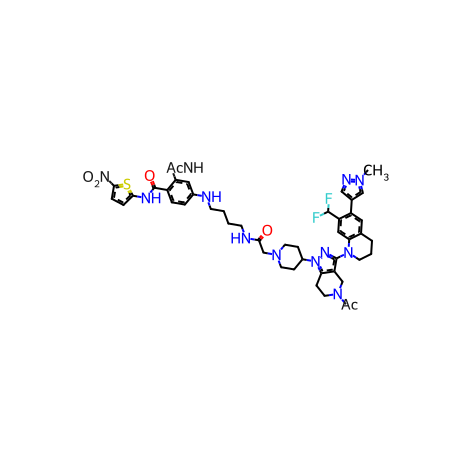 CC(=O)Nc1cc(NCCCCNC(=O)CN2CCC(n3nc(N4CCCc5cc(-c6cnn(C)c6)c(C(F)F)cc54)c4c3CCN(C(C)=O)C4)CC2)ccc1C(=O)Nc1ccc([N+](=O)[O-])s1